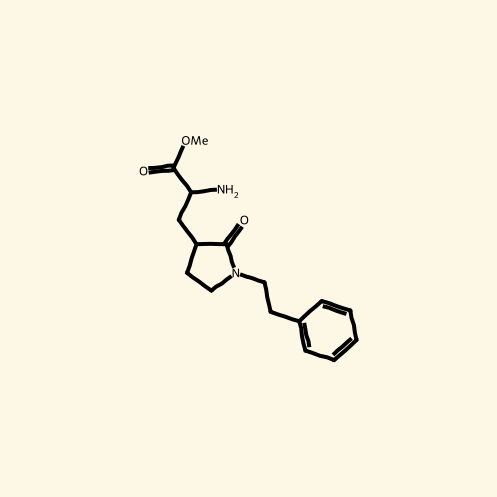 COC(=O)C(N)CC1CCN(CCc2ccccc2)C1=O